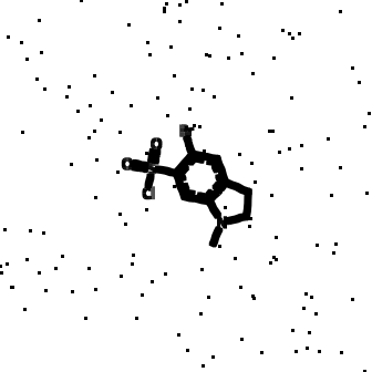 CN1CCc2cc(Br)c(S(=O)(=O)Cl)cc21